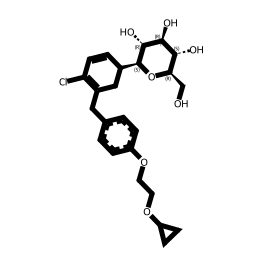 OC[C@H]1O[C@@H](C2C=CC(Cl)=C(Cc3ccc(OCCOC4CC4)cc3)C2)[C@H](O)[C@@H](O)[C@@H]1O